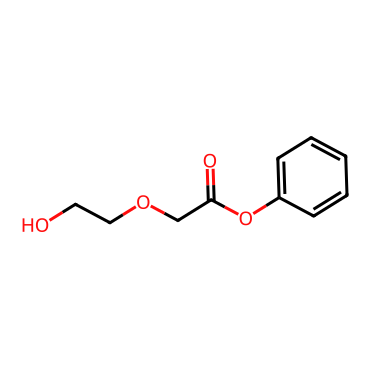 O=C(COCCO)Oc1ccccc1